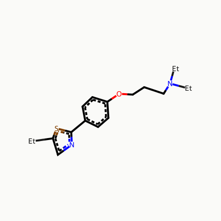 CCc1cnc(-c2ccc(OCCCN(CC)CC)cc2)s1